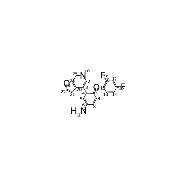 CN1C=C(c2cc(N)ccc2Oc2ccc(F)cc2F)c2ccoc2C1